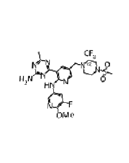 COc1ncc(Nc2ncc(CN3CCN(S(C)(=O)=O)C[C@H]3C(F)(F)F)cc2-c2nc(C)nc(N)n2)cc1F